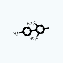 Cc1cc(C(=O)O)c(-c2ccc(N)cc2)c(C(=O)O)c1